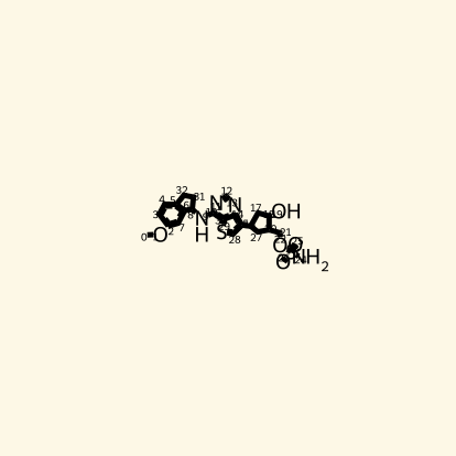 COc1ccc2c(c1)C(Nc1ncnc3c(C4CC(O)C(COS(N)(=O)=O)C4)csc13)CC2